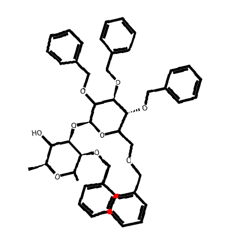 CC1O[C@@H](C)C(O)[C@@H](O[C@@H]2OC(COCc3ccccc3)[C@@H](OCc3ccccc3)[C@H](OCc3ccccc3)C2OCc2ccccc2)[C@H]1OCc1ccccc1